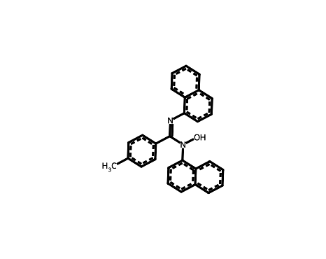 Cc1ccc(C(=Nc2cccc3ccccc23)N(O)c2cccc3ccccc23)cc1